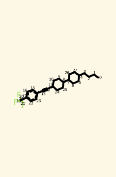 CCCCC1CCC(C2CCC(C#Cc3ccc(C(F)(F)F)cc3)CC2)CC1